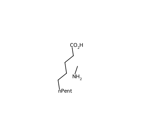 CCCCCCCCCC(=O)O.CN